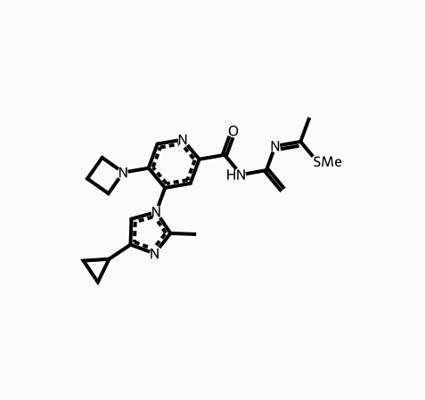 C=C(/N=C(/C)SC)NC(=O)c1cc(-n2cc(C3CC3)nc2C)c(N2CCC2)cn1